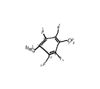 COc1c(F)c(F)c(C(F)(F)F)c(F)c1F